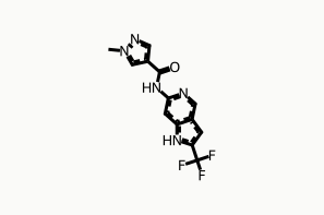 Cn1cc(C(=O)Nc2cc3[nH]c(C(F)(F)F)cc3cn2)cn1